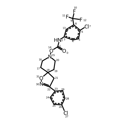 O=C(Nc1ccc(Cl)c(C(F)(F)F)c1)ON1CCC2(CC1)CC(c1ccc(Cl)cc1)=NO2